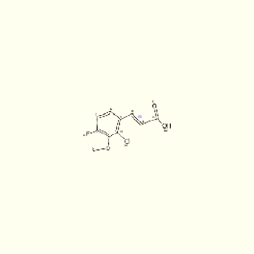 COc1c(F)ccc(/C=C/C(=O)O)c1Cl